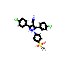 CS(=O)(=O)c1ccc(-n2nc(-c3ccc(Cl)cc3)c(C#N)c2-c2ccc(Cl)cc2)cc1